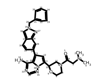 CN(C)CC(=O)N1CCOC(c2cc(-c3ccc4cn(Cc5ccccc5)nc4c3)c3c(N)ncnn23)C1